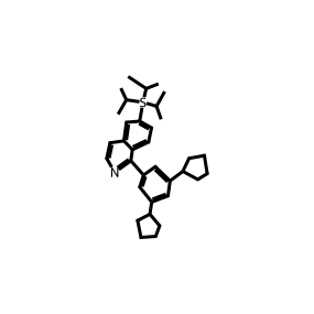 CC(C)S(c1ccc2c(-c3cc(C4CCCC4)cc(C4CCCC4)c3)nccc2c1)(C(C)C)C(C)C